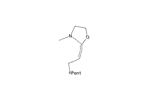 CCCCCCC=C1OCCN1C